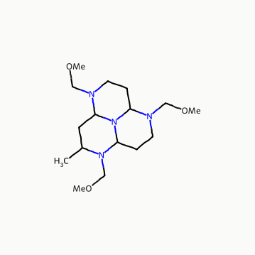 COCN1CCC2N(COC)C(C)CC3N(COC)CCC1N32